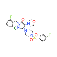 O=c1c(N2CCOCC2)c(N2CCN(S(=O)(=O)Cc3ccc(F)cc3)CC2)cnn1Cc1c(F)cccc1Cl